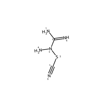 N#CSN(N)C(=N)N